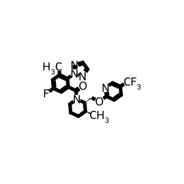 Cc1cc(F)cc(C(=O)N2CCC[C@@H](C)[C@H]2COc2ccc(C(F)(F)F)cn2)c1-n1nccn1